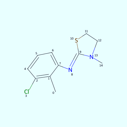 Cc1c(Cl)cccc1N=C1SCCN1C